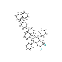 Fc1cc2c(-c3ccccc3)c3c(c(-c4ccccc4)c2cc1F)-c1ccc(-c2ccc4c(c2)-c2cccc5cccc-4c25)c2cccc-3c12